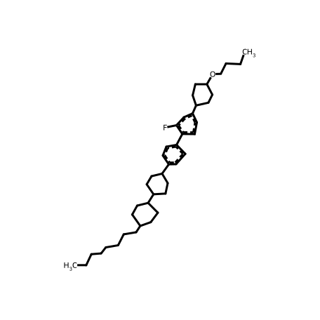 CCCCCCCCC1CCC(C2CCC(c3ccc(-c4ccc(C5CCC(OCCCC)CC5)cc4F)cc3)CC2)CC1